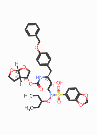 CCC(CC)ON(C[C@@H](O)[C@H](Cc1ccc(OCc2ccccc2)cc1)NC(=O)O[C@H]1CO[C@H]2OCC[C@H]21)S(=O)(=O)c1ccc2c(c1)OCO2